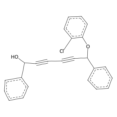 OC(C#CC#CC(Oc1ccccc1Cl)c1ccccc1)c1ccccc1